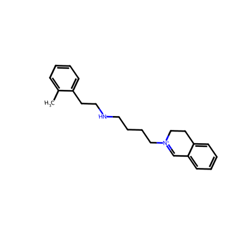 Cc1ccccc1CCNCCCC[N+]1=Cc2ccccc2CC1